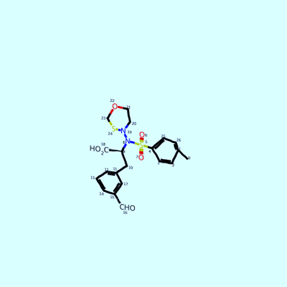 Cc1ccc(S(=O)(=O)N([C@@H](Cc2cccc(C=O)c2)C(=O)O)N2CCOCS2)cc1